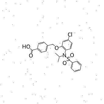 CC(C)N(c1ccc(Cl)cc1OCc1ccc(C(=O)O)cc1)S(=O)(=O)c1ccccc1